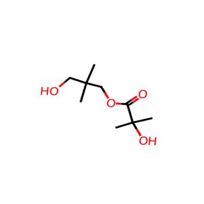 CC(C)(CO)COC(=O)C(C)(C)O